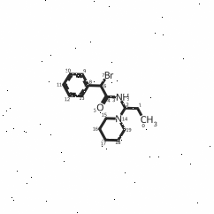 CCC(NC(=O)C(Br)c1ccccc1)N1CC[CH]CC1